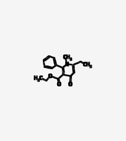 CCOC(=O)c1c(-c2ccccc2)n(C)c(CC)cc1=O